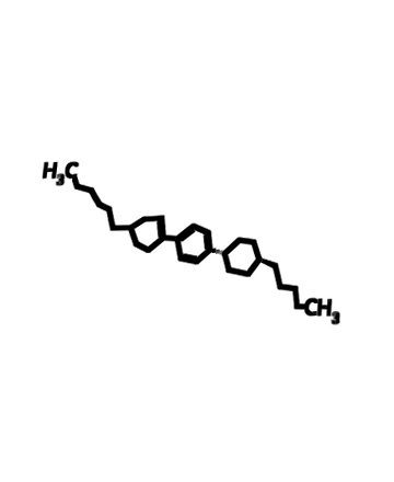 CCCCCCC1CC=C(c2ccc([C@H]3CC[C@H](CCCCC)CC3)cc2)CC1